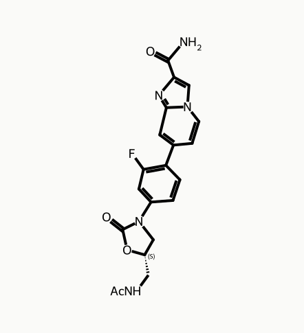 CC(=O)NC[C@H]1CN(c2ccc(-c3ccn4cc(C(N)=O)nc4c3)c(F)c2)C(=O)O1